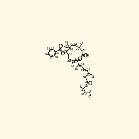 CCC(C)C(C)C1OC1CC(C)/C=C/C=C(\C)C1OC(=O)CC(C)CCC(C)(C)C(OC(=O)c2ccccc2)/C=C/C1C